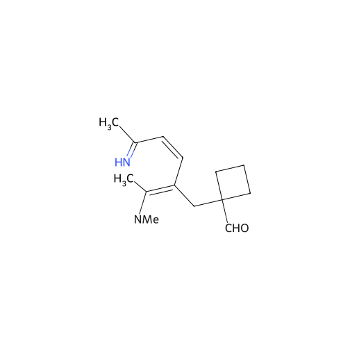 CN/C(C)=C(/C=C\C(C)=N)CC1(C=O)CCC1